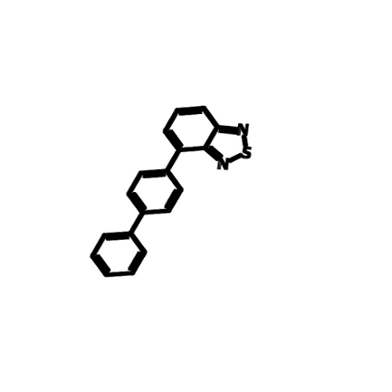 c1ccc(-c2ccc(-c3cccc4nsnc34)cc2)cc1